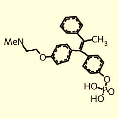 CNCCOc1ccc(/C(=C(/C)c2ccccc2)c2ccc(OP(=O)(O)O)cc2)cc1